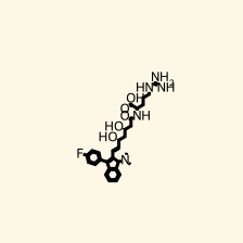 CN(C)C1C(/C=C/[C@H](O)C[C@H](O)CC(=O)NC(CCCNC(=N)N)C(=O)O)=C(c2ccc(F)cc2)c2ccccc21